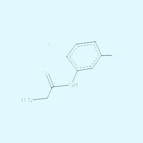 Cl.NCC(=O)Nc1cccc(Cl)c1